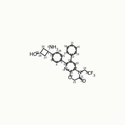 N[C@]1(c2ccc(-c3nc4c(cc3-c3ccccc3)N(CC(F)(F)F)C(=O)CO4)cc2)C[C@@H](O)C1